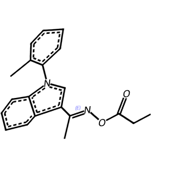 CCC(=O)O/N=C(\C)c1cn(-c2ccccc2C)c2ccccc12